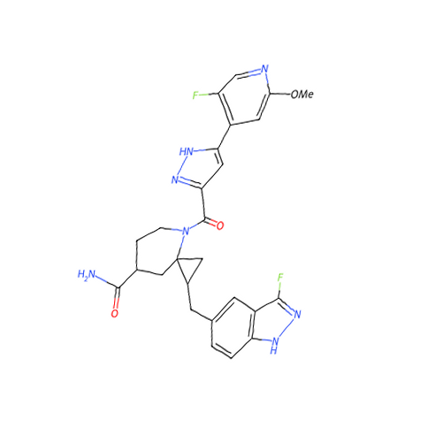 COc1cc(-c2cc(C(=O)N3CCC(C(N)=O)CC34CC4Cc3ccc4[nH]nc(F)c4c3)n[nH]2)c(F)cn1